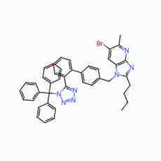 CCCCc1nc2nc(C)c(Br)cc2n1Cc1ccc(-c2ccccc2-c2nnnn2C(c2ccccc2)(c2ccccc2)c2ccccc2)cc1